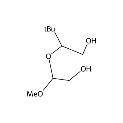 COC(CO)OC(CO)C(C)(C)C